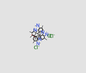 CC1=C(C)C(C)([Si](c2c(C)cc(C)c(N(C)C)c2N(C)C)(c2c(C)cc(C)c(N(C)C)c2N(C)C)c2c(C)cc(C)c(N(C)C)c2N(C)C)[C]([Ti+3])=C1C.[Cl-].[Cl-].[Cl-]